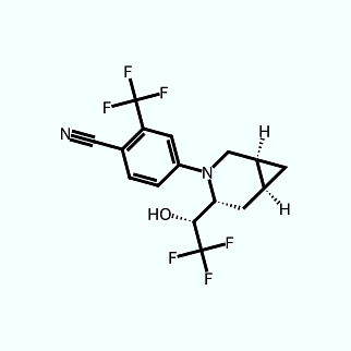 N#Cc1ccc(N2C[C@H]3C[C@H]3C[C@@H]2[C@@H](O)C(F)(F)F)cc1C(F)(F)F